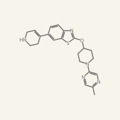 Cc1cnc(N2CCC(Oc3nc4ccc(C5=CCNCC5)cc4s3)CC2)cn1